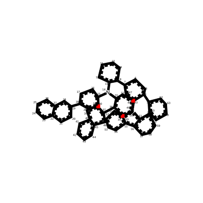 c1ccc(-c2ccc(-c3ccccc3N(c3ccc(-c4ccc5ccccc5c4)cc3)c3ccccc3-c3ccc4ccccc4c3)cc2-n2c3ccccc3c3ccccc32)cc1